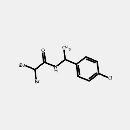 CCC(C)C(Br)C(=O)NC(C)c1ccc(Cl)cc1